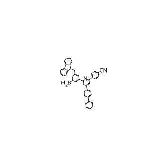 Bc1cc(CC2c3ccccc3-c3ccccc32)cc(-c2cc(-c3ccc(-c4ccccc4)cc3)cc(-c3ccc(C#N)cc3)n2)c1